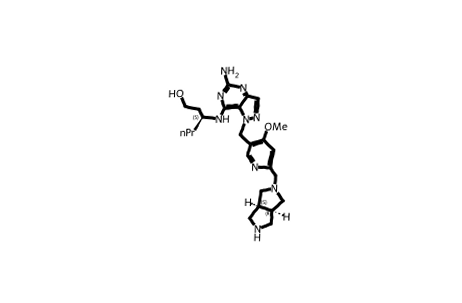 CCC[C@@H](CCO)Nc1nc(N)nc2cnn(Cc3cnc(CN4C[C@H]5CNC[C@H]5C4)cc3OC)c12